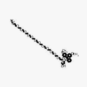 COc1ccc(C(OC[C@@H]2C[C@@H](O)CN2C(=O)CCOCCOCCOCCOCCOCCOCCOCCOCCOCCOCCOCCOCCN=[N+]=[N-])(c2ccccc2)c2ccc(OC)cc2)cc1